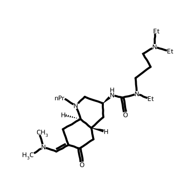 CCCN1C[C@@H](NC(=O)N(CC)CCCN(CC)CC)C[C@@H]2CC(=O)C(=CN(C)C)C[C@H]21